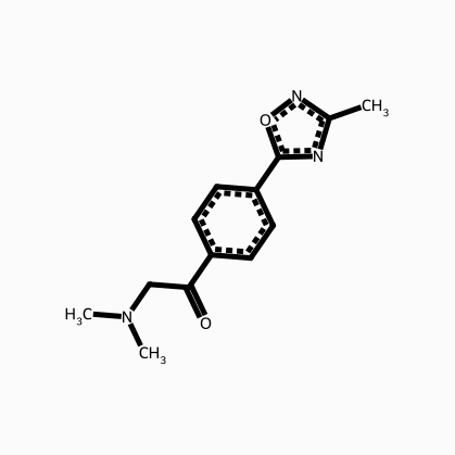 Cc1noc(-c2ccc(C(=O)CN(C)C)cc2)n1